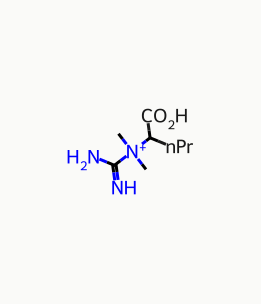 CCCC(C(=O)O)[N+](C)(C)C(=N)N